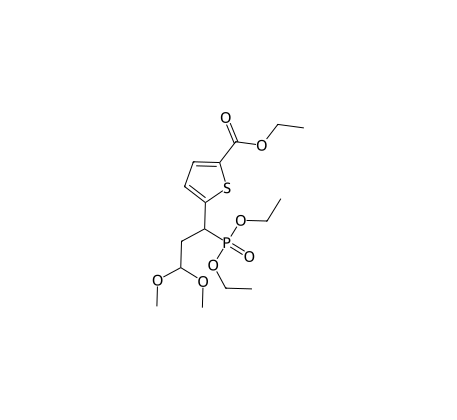 CCOC(=O)c1ccc(C(CC(OC)OC)P(=O)(OCC)OCC)s1